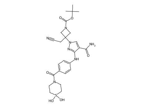 CC(C)(C)OC(=O)N1CC(CC#N)(n2cc(C(N)=O)c(Nc3ccc(C(=O)N4CCS(O)(O)CC4)cc3)n2)C1